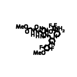 COC(=O)CNC(=O)Nc1ncnc2c1ncn2Cc1cc(-c2cc(F)c(OC)cc2F)ncc1N1CCC[C@](N)([C@H](O)C(F)F)C1